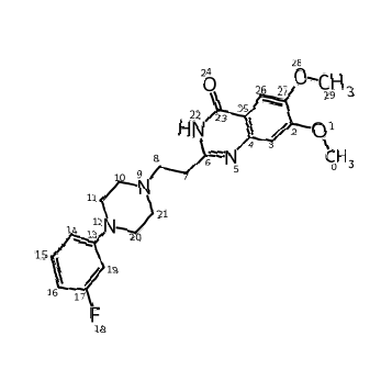 COc1cc2nc(CCN3CCN(c4cccc(F)c4)CC3)[nH]c(=O)c2cc1OC